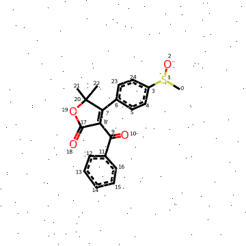 C[S+]([O-])c1ccc(C2=C(C(=O)c3ccccc3)C(=O)OC2(C)C)cc1